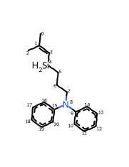 CC(C)=C[SiH2]CCCN(c1ccccc1)c1ccccc1